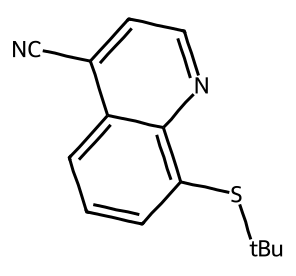 CC(C)(C)Sc1cccc2c(C#N)ccnc12